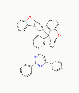 c1ccc(-c2cc(-c3ccc4c(c3)C3(c5ccccc5Oc5ccccc53)c3ccc5oc6ccccc6c5c3-4)nc(-c3ccccc3)n2)cc1